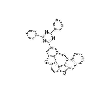 c1ccc(-c2nc(-c3ccccc3)nc(-c3cc4sc5ccc6oc7cc8ccccc8c8sc(c3)c4c5c6c78)n2)cc1